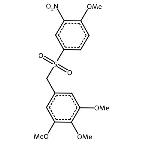 COc1ccc(S(=O)(=O)Cc2cc(OC)c(OC)c(OC)c2)cc1[N+](=O)[O-]